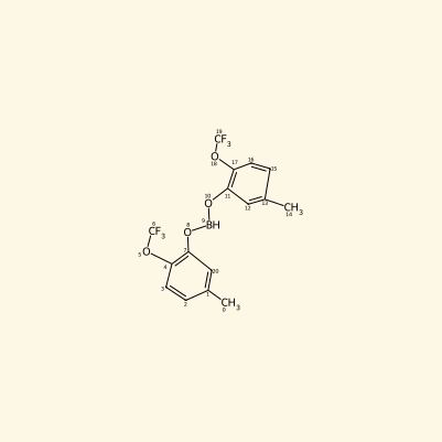 Cc1ccc(OC(F)(F)F)c(OBOc2cc(C)ccc2OC(F)(F)F)c1